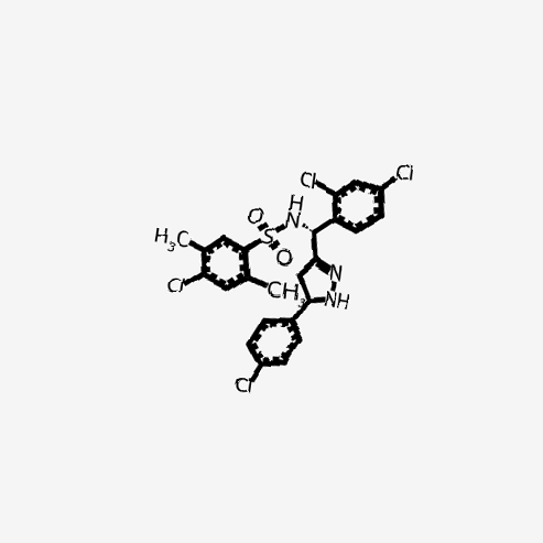 Cc1cc(S(=O)(=O)N[C@@H](C2=NNC(c3ccc(Cl)cc3)C2)c2ccc(Cl)cc2Cl)c(C)cc1Cl